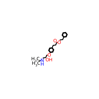 CC(C)NCC(O)COc1ccc(CCC(=O)OCCc2ccccc2)cc1